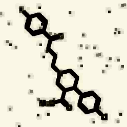 COC(=O)C1CN(CCCC(=O)c2ccc(F)cc2)CCC1c1ccc(Cl)cc1